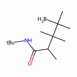 BC(C)(C)C(C)(C)C(C)C(=O)NC(C)(C)C